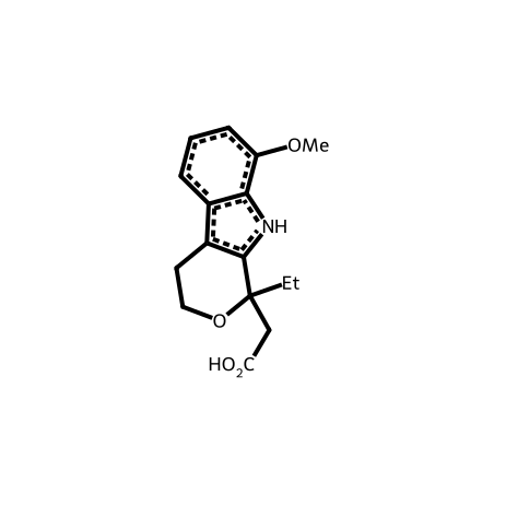 CCC1(CC(=O)O)OCCc2c1[nH]c1c(OC)cccc21